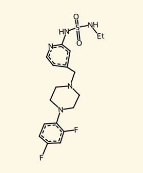 CCNS(=O)(=O)Nc1cc(CN2CCN(c3ccc(F)cc3F)CC2)ccn1